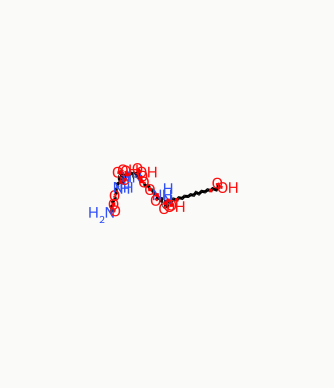 NC(=O)COCCOCCNCC(C=O)C[C@H](NC(=O)CC[C@H](NC(=O)COCCOCCNC(=O)CC[C@H](NC(=O)CCCCCCCCCCCCCCCCC(=O)O)C(=O)O)C(=O)O)C(=O)O